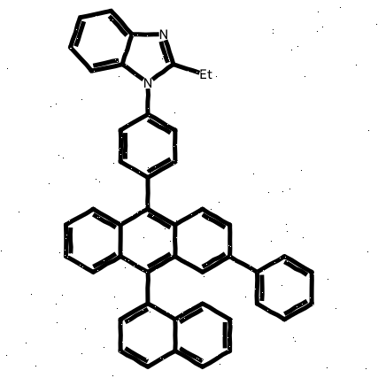 CCc1nc2ccccc2n1-c1ccc(-c2c3ccccc3c(-c3cccc4ccccc34)c3cc(-c4ccccc4)ccc23)cc1